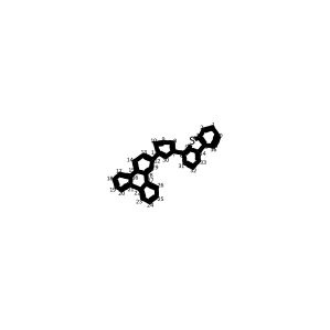 c1ccc2sc3c(-c4cccc(-c5ccc6c7ccccc7c7ccccc7c6c5)c4)cccc3c2c#1